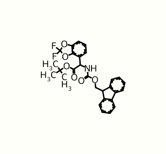 CC(C)(C)OC(=O)C(NC(=O)OCC1c2ccccc2-c2ccccc21)c1cccc2c1OC(F)(F)O2